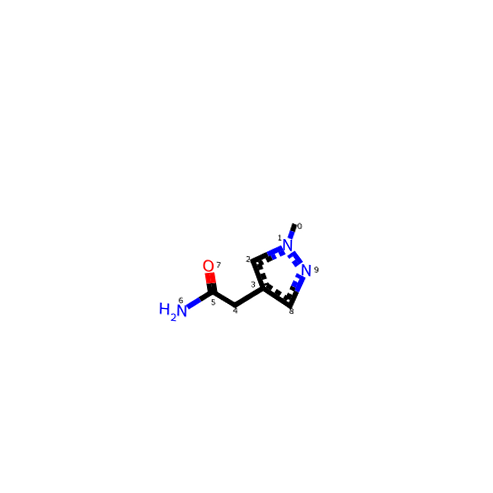 Cn1cc(CC(N)=O)cn1